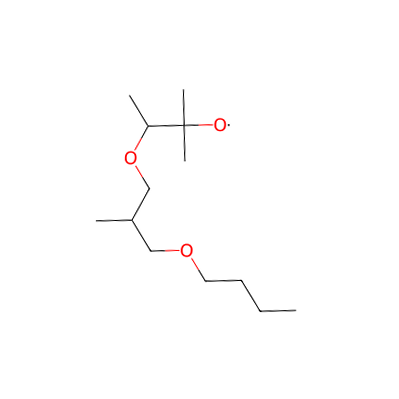 CCCCOCC(C)COC(C)C(C)(C)[O]